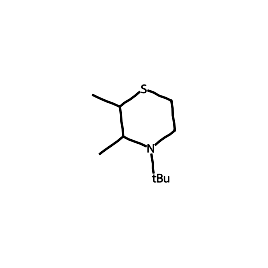 CC1SCCN(C(C)(C)C)C1C